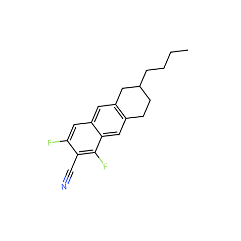 CCCCC1CCc2cc3c(F)c(C#N)c(F)cc3cc2C1